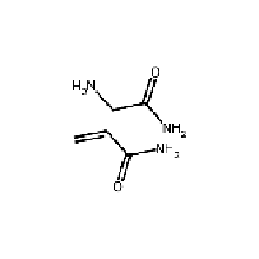 C=CC(N)=O.NCC(N)=O